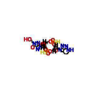 O=c1c2ncn([C@@H]3O[C@@H]4COP(=O)(S)O[C@H]5C[C@H](n6cc7c8c(ncnc86)NCCC7)O[C@@H]5COP(=O)(S)O[C@@H]3[C@@H]4O)c2ncn1CCO